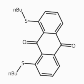 CCCCSc1cccc2c1C(=O)c1c(SCCCC)cccc1C2=O